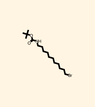 CC(C)(C)OC(=O)NCCCCCCCCCCCBr